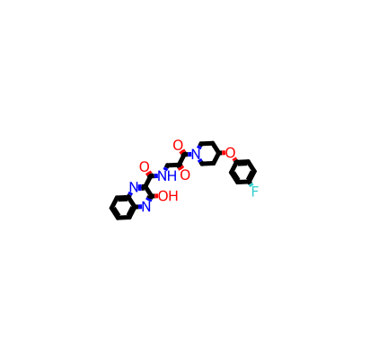 O=C(CNC(=O)c1nc2ccccc2nc1O)C(=O)N1CCC(Oc2ccc(F)cc2)CC1